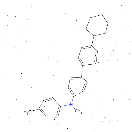 Cc1ccc(N(C)c2ccc(-c3ccc(C4CCCCC4)cc3)cc2)cc1